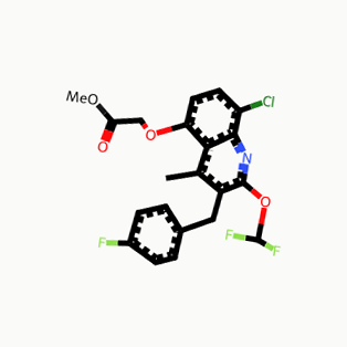 COC(=O)COc1ccc(Cl)c2nc(OC(F)F)c(Cc3ccc(F)cc3)c(C)c12